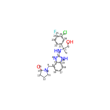 CC(CO)(Nc1nc2c(CN3CCCC3=O)cccc2[nH]1)c1ccc(F)c(Cl)c1